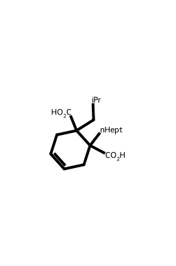 CCCCCCCC1(C(=O)O)CC=CCC1(CC(C)C)C(=O)O